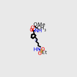 CCS(=O)(=O)NCCC/C=C/c1cccc(C(=O)NC(C)C(=O)OC)c1